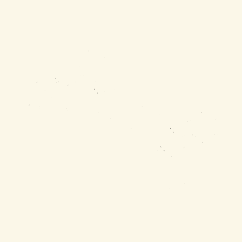 c1c(-c2ccc(N3c4ccc5c6c(sc5c4C4C=CC=CC43)CCC=C6)cc2)ccc(-c2nc(C3=CC=CCC3)cc(-c3ccccc3)n2)c#1